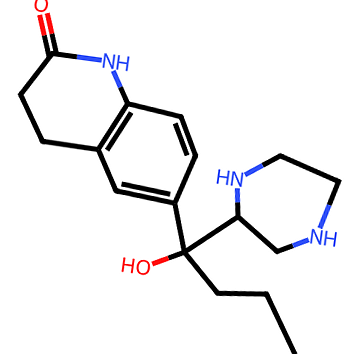 CCCC(O)(c1ccc2c(c1)CCC(=O)N2)C1CNCCN1